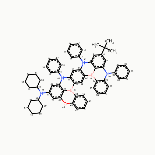 CC(C)(C)c1cc2c3c(c1)N(c1ccccc1)c1cc4c(cc1B3c1ccccc1N2c1ccccc1)B1c2ccccc2Oc2cc(N(C3CCCCC3)C3CCCCC3)cc(c21)N4c1ccccc1